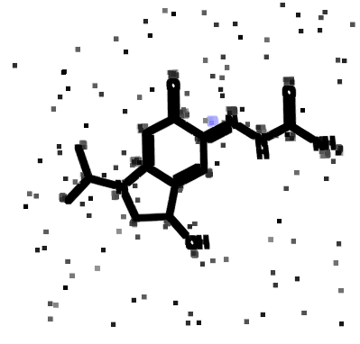 CC(C)N1CC(O)C2=C/C(=N\NC(N)=O)C(=O)C=C21